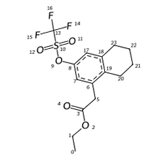 CCOC(=O)Cc1cc(OS(=O)(=O)C(F)(F)F)cc2c1CCCC2